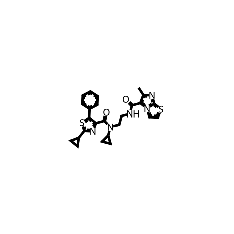 Cc1nc2sccn2c1C(=O)NCCN(C(=O)c1nc(C2CC2)sc1-c1ccccc1)C1CC1